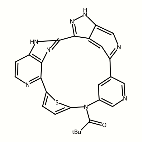 CC(C)(C)C(=O)n1c2cncc(c2)c2cc3c(cn2)[nH]nc3c2nc3c(ccnc3c3ccc1s3)[nH]2